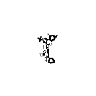 COC(=O)NC(CCCNC(=O)[C@@H]1CN(C(C)(C)C)C[C@H]1c1ccc(F)cc1F)c1ccccc1